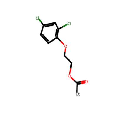 CCC(=O)OCCOc1ccc(Cl)cc1Cl